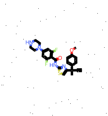 C#CC(C)(c1ccc(OC)cc1)c1csc(NC(=O)c2c(F)cc(N3CCNCC3)cc2F)n1